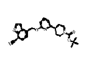 CC(C)(C)OC(=O)N1CCC(c2cccc(OCc3ccc(C#N)c4occc34)n2)CC1